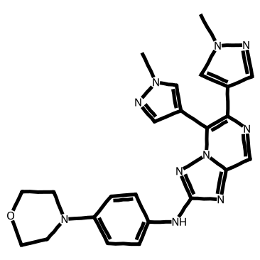 Cn1cc(-c2ncc3nc(Nc4ccc(N5CCOCC5)cc4)nn3c2-c2cnn(C)c2)cn1